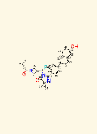 O=C(C1CC1)N1CC(CN2C(=O)C3(CC3)N=C2c2ccc(-c3ccc4cc(O)ccc4c3)cc2F)C1